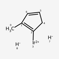 CC1=[C]([Ir+2])CC=C1.[H-].[H-]